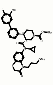 COCCCN1C(=O)CSc2ccc(N(C(=O)[C@H]3CN(C(=O)OC(C)(C)C)CC[C@@H]3c3cccc(-c4ccc(F)c(O)c4)c3)C3CC3)cc21